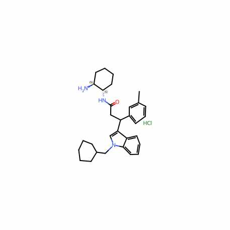 Cc1cccc(C(CC(=O)N[C@H]2CCCC[C@@H]2N)c2cn(CC3CCCCC3)c3ccccc23)c1.Cl